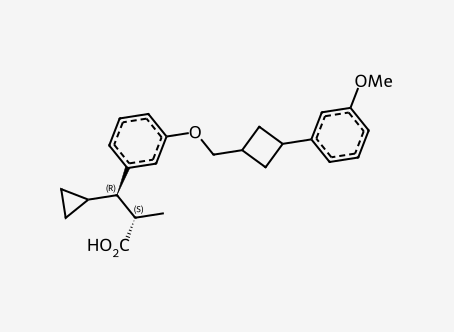 COc1cccc(C2CC(COc3cccc([C@H](C4CC4)[C@H](C)C(=O)O)c3)C2)c1